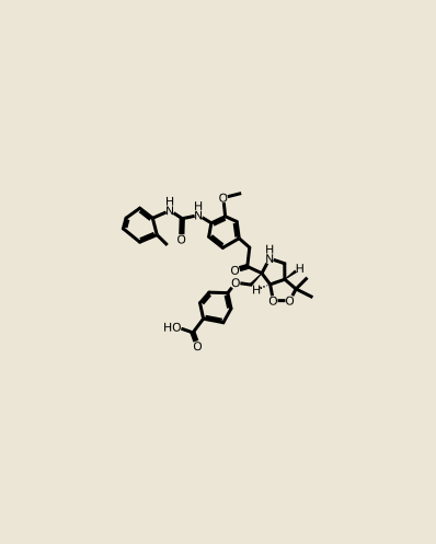 COc1cc(CC(=O)[C@]2(COc3ccc(C(=O)O)cc3)NC[C@H]3[C@H]2OOC3(C)C)ccc1NC(=O)Nc1ccccc1C